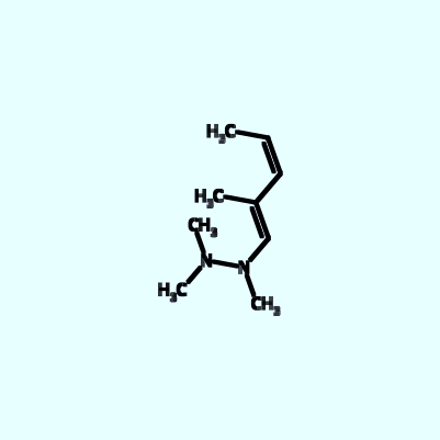 C/C=C\C(C)=C\N(C)N(C)C